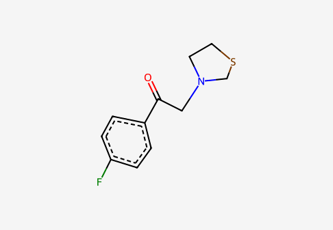 O=C(CN1CCSC1)c1ccc(F)cc1